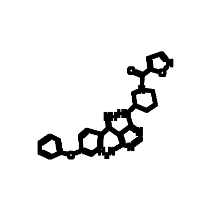 N=C(c1ccc(Oc2ccccc2)cc1)c1c(N)ncnc1NC1CCCN(C(=O)c2ccno2)C1